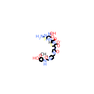 COc1cc(NC(=O)C[n+]2ccc(CN3CC/C(=C\C4=C(C(=O)[O-])N5C(=O)[C@@H](NC(=O)/C(=N\O)c6csc(N)n6)[C@H]5SC4)C3=O)cc2)ccc1O